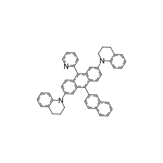 c1ccc(-c2c3ccc(N4CCCc5ccccc54)cc3c(-c3ccc4ccccc4c3)c3ccc(N4CCCc5ccccc54)cc23)nc1